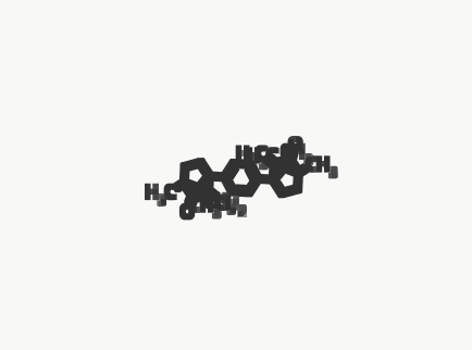 C=C1C(=O)C2(C)CCC1(c1ccc(C34CCC(C)(C(=O)C3=C)C4(C)C)cc1)C2(C)C